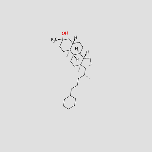 C[C@H](CCCC1CCCCC1)[C@H]1CC[C@H]2[C@@H]3CC[C@H]4C[C@](O)(C(F)(F)F)CC[C@]4(C)[C@H]3CC[C@]12C